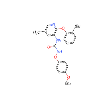 Cc1cnc(Oc2ccccc2C(C)(C)C)c(NC(=O)NOc2ccc(OC(C)(C)C)cc2)c1